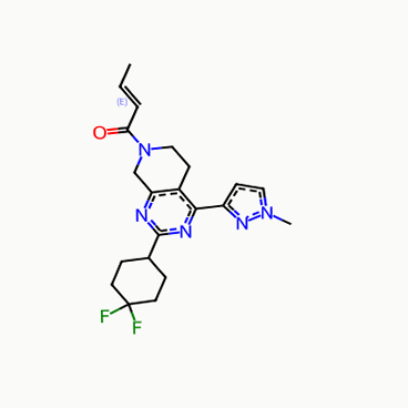 C/C=C/C(=O)N1CCc2c(nc(C3CCC(F)(F)CC3)nc2-c2ccn(C)n2)C1